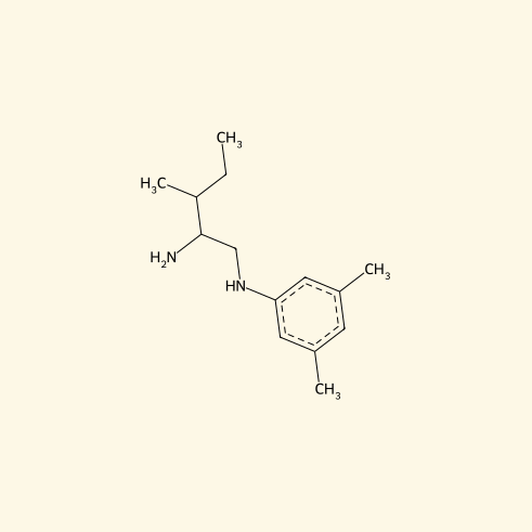 CCC(C)C(N)CNc1cc(C)cc(C)c1